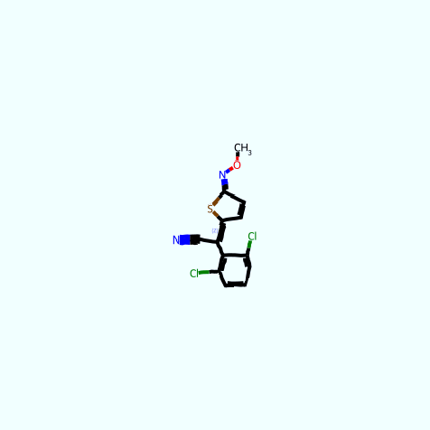 CON=C1C=C/C(=C(/C#N)c2c(Cl)cccc2Cl)S1